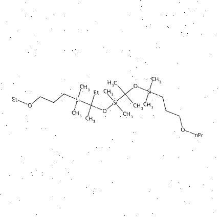 CCCOCCC[Si](C)(C)OC(C)(C)[Si](C)(C)OC(C)(CC)[Si](C)(C)CCCOCC